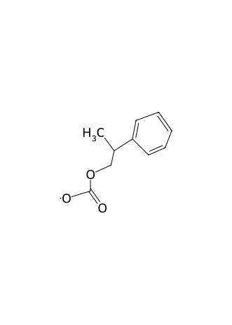 CC(COC([O])=O)c1ccccc1